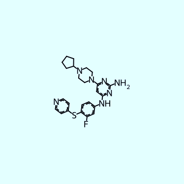 Nc1nc(Nc2ccc(Sc3ccncc3)c(F)c2)cc(N2CCN(C3CCCC3)CC2)n1